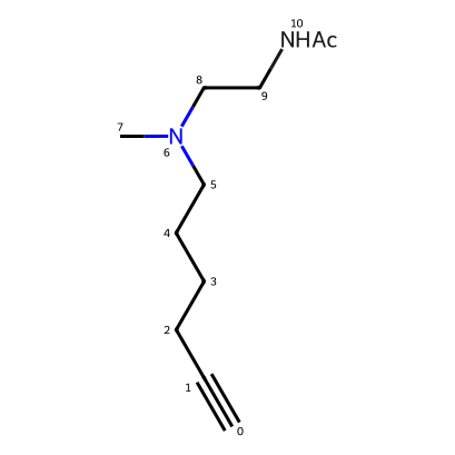 C#CCCCCN(C)CCNC(C)=O